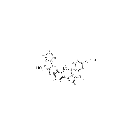 CCCCCc1ccc(C(CC)n2c(C)ccc2-c2ccc(O[C@H](Cc3ccccc3)C(=O)O)cc2)cc1